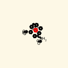 CC(C)(C)C(=O)[O-].CC(C)(C)C(=O)[O-].CC1(C)c2cccc(P(c3ccccc3)c3ccccc3)c2Oc2c(P(c3ccccc3)c3ccccc3)cccc21.NCCP(c1ccccc1)c1ccccc1.[Ru+2]